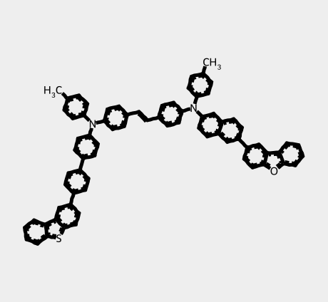 Cc1ccc(N(c2ccc(/C=C/c3ccc(N(c4ccc(C)cc4)c4ccc5cc(-c6ccc7oc8ccccc8c7c6)ccc5c4)cc3)cc2)c2ccc(-c3ccc(-c4ccc5sc6ccccc6c5c4)cc3)cc2)cc1